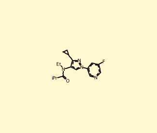 CCN(C(=O)C(C)C)c1cn(-c2cncc(F)c2)nc1C1CC1